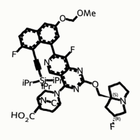 COCOc1cc(-c2ncc3c(N4CC5CCC4CN5C(=O)O)nc(OC[C@@]45CCCN4C[C@H](F)C5)nc3c2F)c2c(C#C[Si](C(C)C)(C(C)C)C(C)C)c(F)ccc2c1